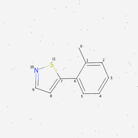 Cc1ccccc1-c1ccns1